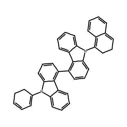 C1=CCCC(n2c3ccccc3c3c(-c4cccc5c4c4ccccc4n5C4=c5ccccc5=CCC4)cccc32)=C1